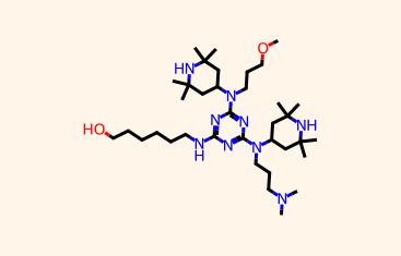 COCCCN(c1nc(NCCCCCCO)nc(N(CCCN(C)C)C2CC(C)(C)NC(C)(C)C2)n1)C1CC(C)(C)NC(C)(C)C1